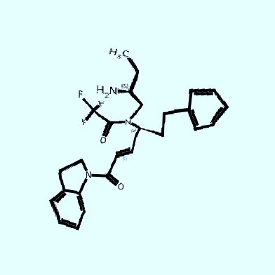 CC[C@H](N)CN(C(=O)C(F)(F)F)[C@H](/C=C/C(=O)N1CCc2ccccc21)CCc1ccccc1